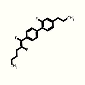 CCCC/C(F)=C(\F)c1ccc(-c2ccc(CCC)cc2F)cc1